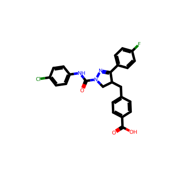 O=C(O)c1ccc(CC2CN(C(=O)Nc3ccc(Cl)cc3)N=C2c2ccc(F)cc2)cc1